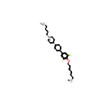 CCCCCCCOc1c(F)cc(C2CCC([C@H]3CC[Si@H](CCCCC)CC3)CC2)cc1F